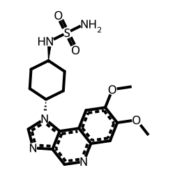 COc1cc2ncc3ncn([C@H]4CC[C@H](NS(N)(=O)=O)CC4)c3c2cc1OC